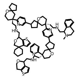 CN1CCc2ccccc2C1CNCC[C@@]1(c2ccc(C3CCC4(C3)C[C@](CCNCC3OCCc5sccc53)(c3ccccn3)CCO4)cn2)CCOC2(CCC(c3ccc([C@]4(CCNCC5OCC6(CCCCC6)c6ccsc65)CCOC5(CCCC5)C4)nc3)C2)C1